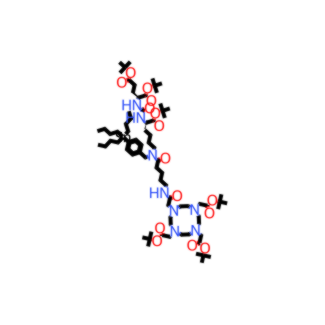 CCC[CH2][Sn]([CH2]CCC)([CH2]CCC)[c]1ccc(CN(CCCC[C@H](NC(=O)N[C@@H](CCC(=O)OC(C)(C)C)C(=O)OC(C)(C)C)C(=O)OC(C)(C)C)C(=O)CCCCNC(=O)CN2CCN(CC(=O)OC(C)(C)C)CCN(CC(=O)OC(C)(C)C)CCN(CC(=O)OC(C)(C)C)CC2)cc1